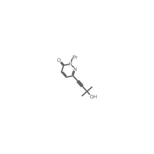 CC(C)n1nc(C#CC(C)(C)O)ccc1=O